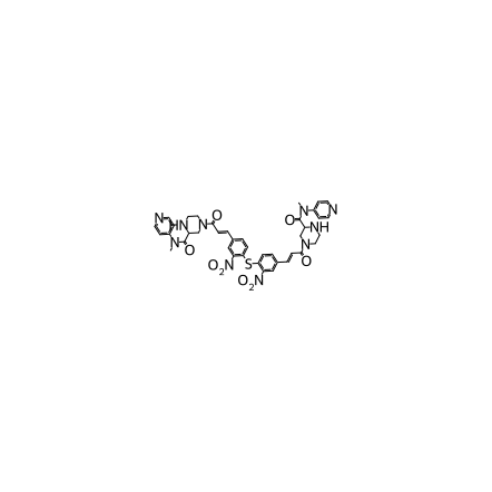 CN(C(=O)C1CN(C(=O)/C=C/c2ccc(Sc3ccc(/C=C/C(=O)N4CCNC(C(=O)N(C)c5ccncc5)C4)cc3[N+](=O)[O-])c([N+](=O)[O-])c2)CCN1)c1ccncc1